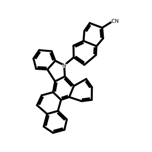 N#Cc1ccc2cc(-n3c4ccccc4c4c5ccc6ccccc6c5c5ccccc5c43)ccc2c1